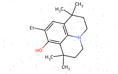 CCc1cc2c3c(c1O)C(C)(C)CCN3CCC2(C)C